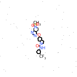 CS(=O)(=O)N1CCc2c(ncnc2Oc2ccc3c(ccn3C(=O)Nc3cccc(C(F)(F)F)c3)c2)C1